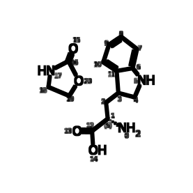 N[C@@H](CC1CNc2ccccc21)C(=O)O.O=C1NCCO1